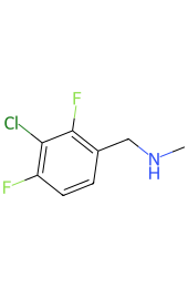 CNCc1ccc(F)c(Cl)c1F